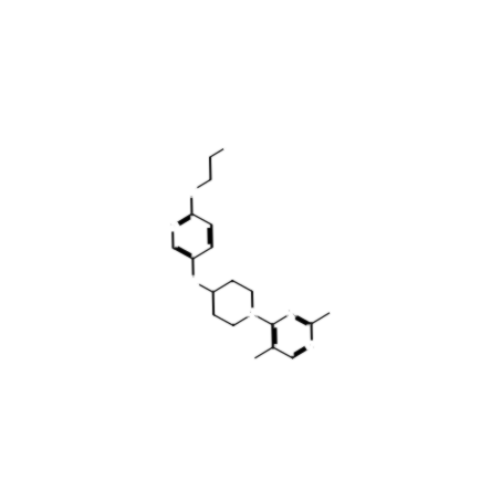 Cc1ncc(C)c(N2CCC(Oc3ccc(OCCO)nc3)CC2)n1